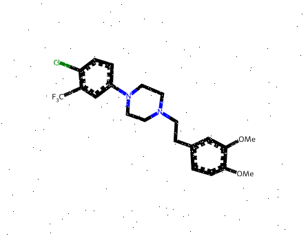 COc1ccc(CCN2CCN(c3ccc(Cl)c(C(F)(F)F)c3)CC2)cc1OC